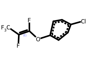 F/C(Oc1ccc(Cl)cc1)=C(/F)C(F)(F)F